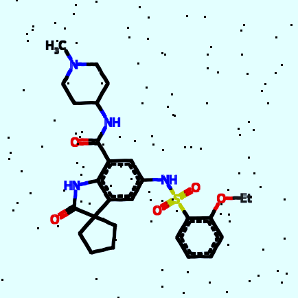 CCOc1ccccc1S(=O)(=O)Nc1cc(C(=O)NC2CCN(C)CC2)c2c(c1)C1(CCCC1)C(=O)N2